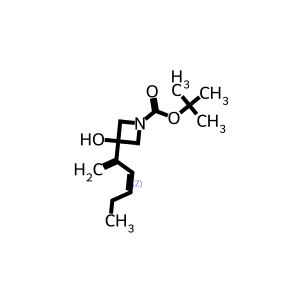 C=C(/C=C\CC)C1(O)CN(C(=O)OC(C)(C)C)C1